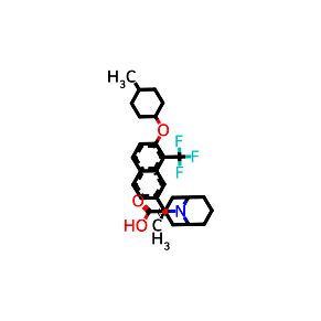 CC1CCC(Oc2ccc3ccc([C@H](C)N4C5CCCC4CC(C(=O)O)C5)cc3c2C(F)(F)F)CC1